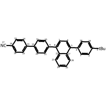 CC(C)(C)c1ccc(-c2ccc(-c3ccc(-c4ccc(C#N)cc4)cc3)c3ccccc23)cc1